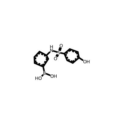 O=S(=O)(Nc1cccc(B(O)O)c1)c1ccc(O)cc1